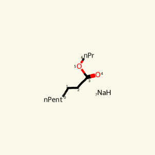 CCCCCCCC(=O)OCCC.[NaH]